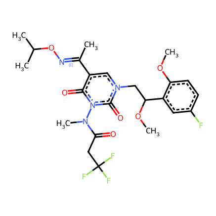 COc1ccc(F)cc1C(Cn1cc(/C(C)=N/OC(C)C)c(=O)n(N(C)C(=O)CC(F)(F)F)c1=O)OC